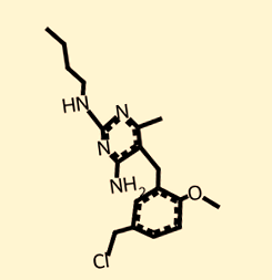 CCCCNc1nc(C)c(Cc2cc(CCl)ccc2OC)c(N)n1